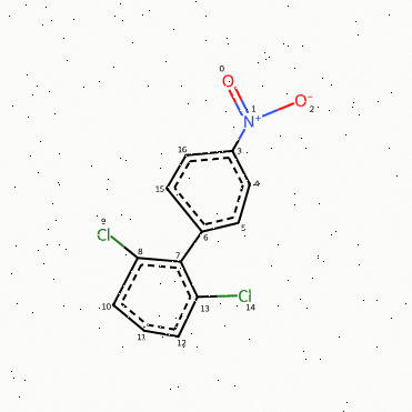 O=[N+]([O-])c1ccc(-c2c(Cl)c[c]cc2Cl)cc1